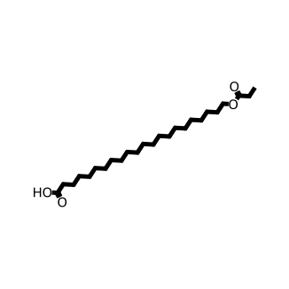 CCC(=O)OCCCCCCCCCCCCCCCCCCCCCC(=O)O